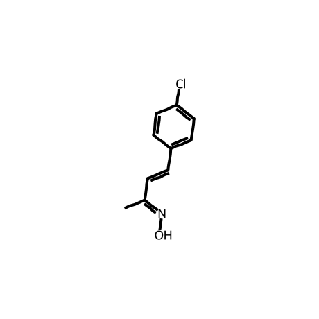 CC(C=Cc1ccc(Cl)cc1)=NO